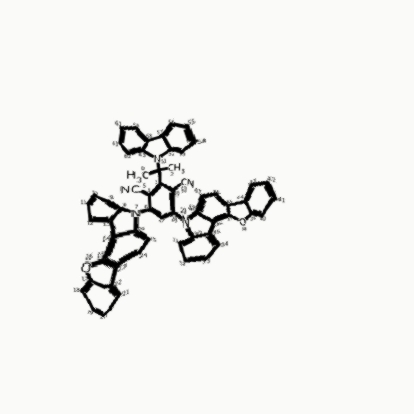 CC(C)(c1c(C#N)c(-n2c3ccccc3c3c4oc5ccccc5c4ccc32)cc(-n2c3ccccc3c3c4oc5ccccc5c4ccc32)c1C#N)n1c2ccccc2c2ccccc21